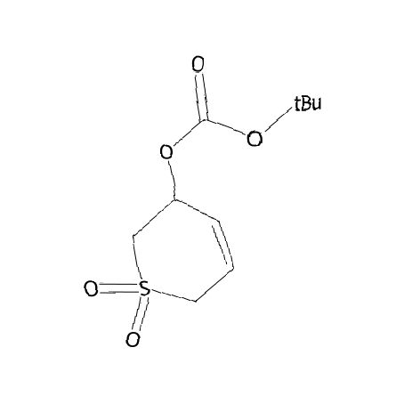 CC(C)(C)OC(=O)OC1C=CCS(=O)(=O)C1